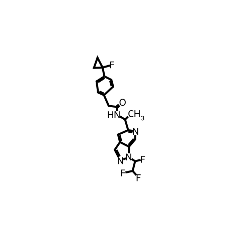 CC(NC(=O)Cc1ccc(C2(F)CC2)cc1)c1cc2cnn(C(F)C(F)F)c2cn1